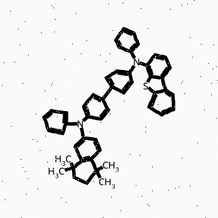 CC1(C)CCC(C)(C)c2cc(N(c3ccccc3)c3ccc(-c4ccc(N(c5ccccc5)c5cccc6c5sc5ccccc56)cc4)cc3)ccc21